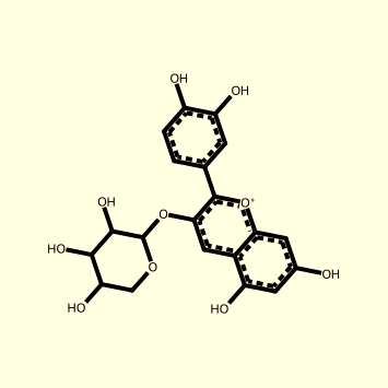 Oc1cc(O)c2cc(OC3OCC(O)C(O)C3O)c(-c3ccc(O)c(O)c3)[o+]c2c1